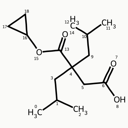 CC(C)CC(CC(=O)O)(CC(C)C)C(=O)OC1CC1